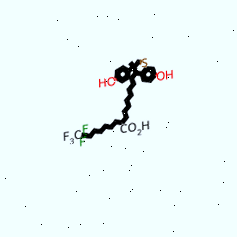 CC1(c2ccc(O)cc2)CSc2cc(O)ccc2C1CCCCCCCCC(CCCCCCC(F)(F)C(F)(F)F)C(=O)O